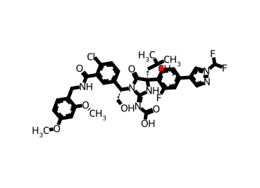 COc1ccc(CNC(=O)c2cc([C@@H](CO)N3C(=O)[C@@](CC(C)(C)C)(c4ccc(-c5cnn(C(F)F)c5)cc4F)N/C3=N\C(=O)O)ccc2Cl)c(OC)c1